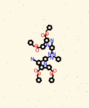 N#Cc1cccc(-c2ccc(-c3nc(-c4ccccc4)nc(-c4ccc(C#N)c(-n5c6ccc(C(=O)OCc7ccccc7)cc6c6cc(C(=O)OCc7ccccc7)ccc65)c4)n3)cc2-n2c3ccc(C(=O)OCc4ccccc4)cc3c3cc(C(=O)OCc4ccccc4)ccc32)c1